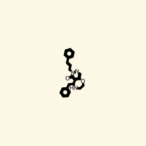 O=c1c2c(cnn1C/C=C/c1ccccc1)OCCNC2Cc1ccccc1